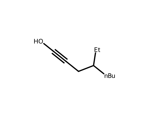 CCCCC(CC)CC#CO